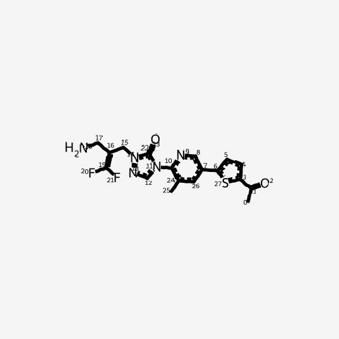 CC(=O)c1ccc(-c2cnc(-n3cnn(CC(CN)=C(F)F)c3=O)c(C)c2)s1